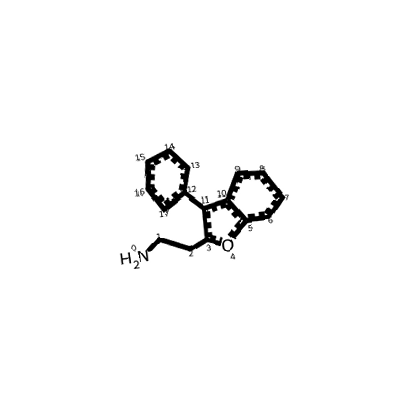 NCCc1oc2ccccc2c1-c1ccccc1